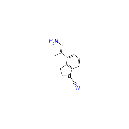 C/C(=C\N)c1cccc2c1CCB2C#N